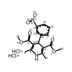 COC(=O)C1=C(C)NC(C)=C(C(=O)OC)C1c1cccc([N+](=O)[O-])c1.Cl.Cl